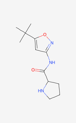 CC(C)(C)c1cc(NC(=O)C2CCCN2)no1